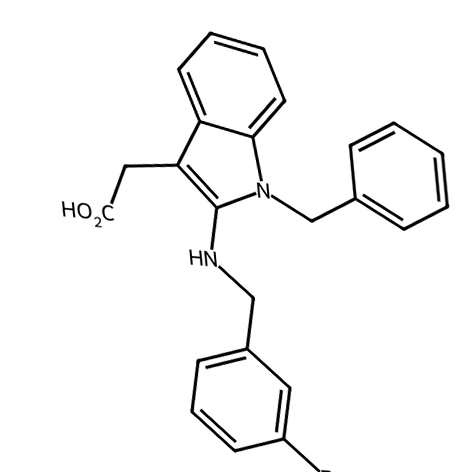 O=C(O)Cc1c(NCc2cccc(F)c2)n(Cc2ccccc2)c2ccccc12